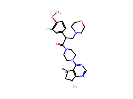 C[C@@H]1C[C@@H](O)c2ncnc(N3CCN(C(=O)C(CN4CCOCC4)c4ccc(OC(F)(F)F)c(F)c4)CC3)c21